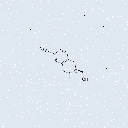 N#Cc1ccc2c(c1)CN[C@H](CO)C2